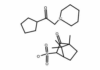 CC12CCC(C(S(=O)(=O)[O-])C1=O)C2(C)C.O=C(C[S+]1CCCCC1)C1CCCC1